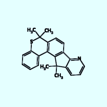 CC1(C)Sc2ccccc2-c2c1ccc1c2C(C)(C)c2cccnc2-1